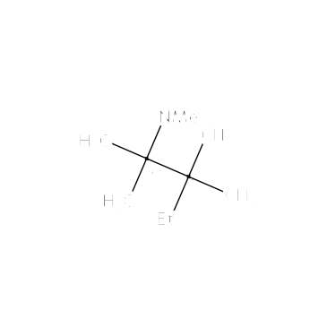 CCC(C)(C)C(C)(C)NC